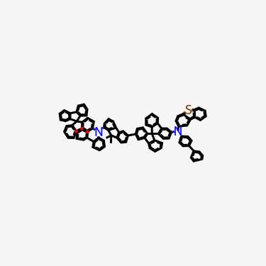 CC1(C)c2ccc(-c3ccc4c(c3)-c3ccccc3C43c4ccccc4-c4cc(N(c5ccc(-c6ccccc6)cc5)c5ccc6sc7ccccc7c6c5)ccc43)cc2-c2cccc(N(c3ccc4c(c3)-c3ccccc3C43c4ccccc4-c4ccccc43)c3ccccc3-c3ccccc3)c21